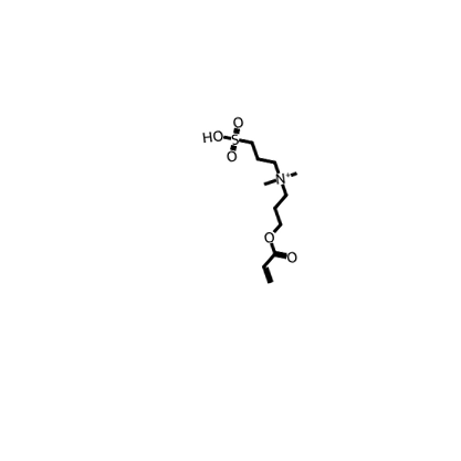 C=CC(=O)OCCC[N+](C)(C)CCCS(=O)(=O)O